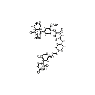 CCCCn1cc(-c2ccc(O[C@H]3CCN(CC4CCN(CCOc5ccc(C)c(-n6ccc(=O)[nH]c6=O)c5)CC4)C[C@@H]3F)c(OC)c2)c2ccncc2c1=O